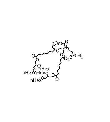 CCCCCCCCC(=O)N(CCCN(C)C)C(COC(=O)CCCCCCC(=O)OCC(COCCCCCC)OCCCCCC)COC(=O)CCCCCCC(=O)OCC(COCCCCCC)OCCCCCC